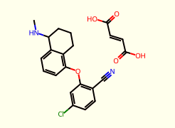 CNC1CCCc2c(Oc3cc(Cl)ccc3C#N)cccc21.O=C(O)C=CC(=O)O